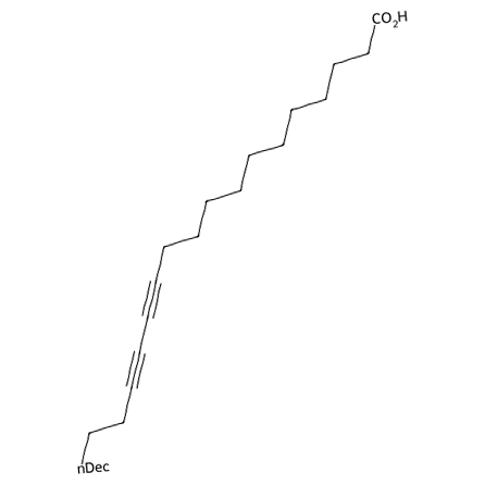 CCCCCCCCCCCCC#CC#CCCCCCCCCCCC(=O)O